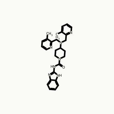 Cc1cccnc1CN(Cc1ncccc1C)C1CCN(C(=O)Nc2nc3ccccc3[nH]2)CC1